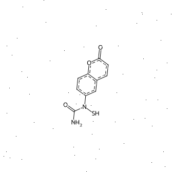 NC(=O)N(S)c1ccc2oc(=O)ccc2c1